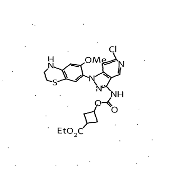 CCOC(=O)C1CC(OC(=O)Nc2nn(-c3cc4c(cc3OC)NCCS4)c3cc(Cl)ncc23)C1